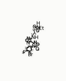 CCNS(=O)(=O)CCCNc1nonc1-c1noc(=O)n1-c1ccc(F)c(Br)c1